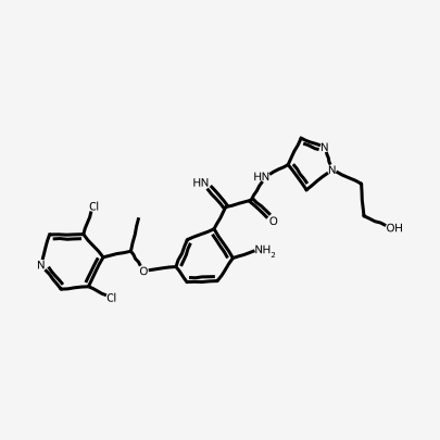 CC(Oc1ccc(N)c(C(=N)C(=O)Nc2cnn(CCO)c2)c1)c1c(Cl)cncc1Cl